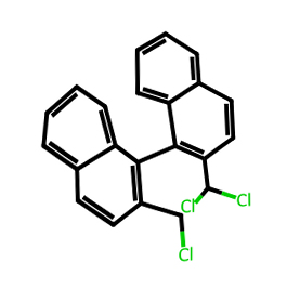 ClCc1ccc2ccccc2c1-c1c(C(Cl)Cl)ccc2ccccc12